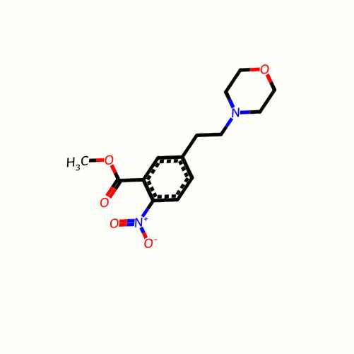 COC(=O)c1cc(CCN2CCOCC2)ccc1[N+](=O)[O-]